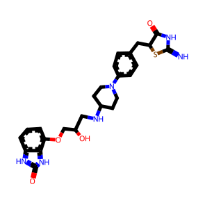 N=C1NC(=O)C(Cc2ccc(N3CCC(NCC(O)COc4cccc5[nH]c(=O)[nH]c45)CC3)cc2)S1